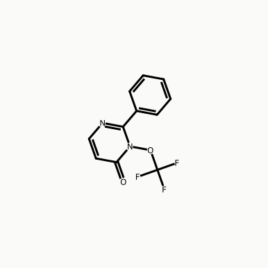 O=c1ccnc(-c2ccccc2)n1OC(F)(F)F